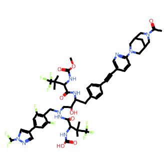 COC(=O)NC(C(=O)NC(Cc1ccc(C#Cc2ccc(N3CC4CC(CN(C(C)=O)C4)C3)nc2)cc1)C(O)CN(Cc1c(F)cc(-c2cnn(C(F)F)c2)cc1F)NC(=O)C(NC(=O)O)C(C)(C)C(F)(F)F)C(C)(C)C(F)(F)F